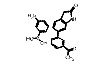 Nc1cccc(B(O)O)c1.O=C1Cc2ccc(-c3cccc(C(=O)C(F)(F)F)c3)cc2N1